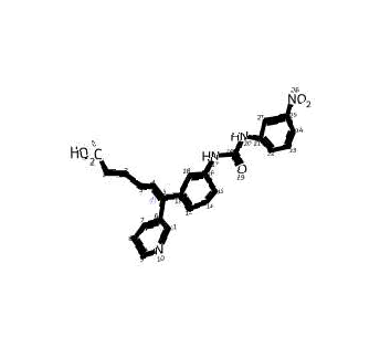 O=C(O)CCC/C=C(\c1cccnc1)c1cccc(NC(=O)Nc2cccc([N+](=O)[O-])c2)c1